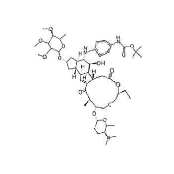 CC[C@H]1CCC[C@H](O[C@H]2CC[C@H](N(C)C)C(C)O2)[C@@H](C)C(=O)C2=C[C@H]3[C@@H]4C[C@H](O[C@@H]5OC(C)[C@H](OC)C(OC)C5OC)C[C@H]4[C@H](Nc4ccc(NC(=O)OC(C)(C)C)cc4)[C@@H](O)[C@H]3[C@@H]2CC(=O)O1